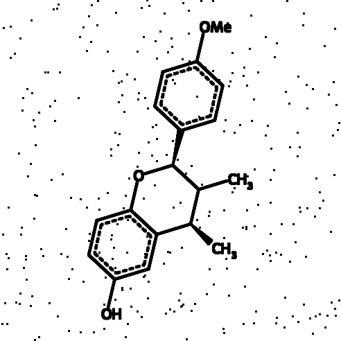 COc1ccc([C@@H]2Oc3ccc(O)cc3[C@H](C)C2C)cc1